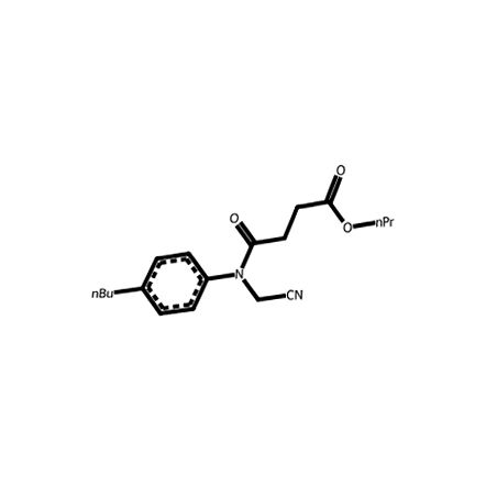 CCCCc1ccc(N(CC#N)C(=O)CCC(=O)OCCC)cc1